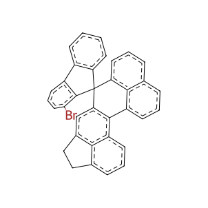 Brc1cccc2c1C1(c3ccccc3-2)c2cc3c4c(cccc4c2-c2cccc4cccc1c24)CC3